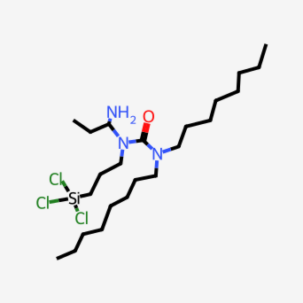 CCCCCCCCN(CCCCCCCC)C(=O)N(CCC[Si](Cl)(Cl)Cl)C(N)CC